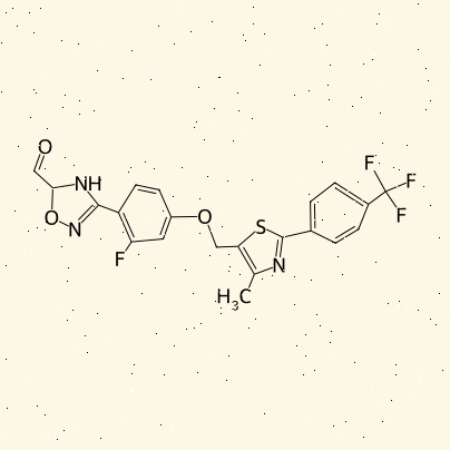 Cc1nc(-c2ccc(C(F)(F)F)cc2)sc1COc1ccc(C2=NOC(C=O)N2)c(F)c1